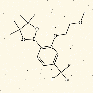 COCCOc1cc(C(F)(F)F)ccc1B1OC(C)(C)C(C)(C)O1